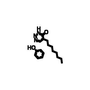 CCCCCCCCc1cnn[nH]c1=O.Oc1ccccc1